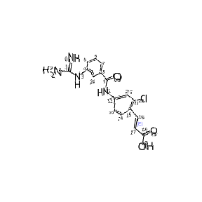 N=C(N)Nc1cccc(C(=O)Nc2ccc(/C=C/C(=O)O)c(Cl)c2)c1